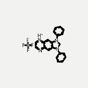 F[B-](F)(F)F.c1ccc(N2CN(c3ccccc3)c3cc4[nH+]ccnc4cc32)cc1